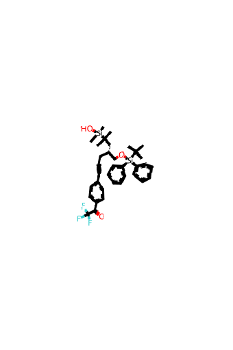 CC(C)(C[C@@H](CC#Cc1ccc(C(=O)C(F)(F)F)cc1)CO[Si](c1ccccc1)(c1ccccc1)C(C)(C)C)[Si](C)(C)O